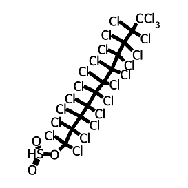 O=[SH](=O)OC(Cl)(Cl)C(Cl)(Cl)C(Cl)(Cl)C(Cl)(Cl)C(Cl)(Cl)C(Cl)(Cl)C(Cl)(Cl)C(Cl)(Cl)C(Cl)(Cl)C(Cl)(Cl)C(Cl)(Cl)Cl